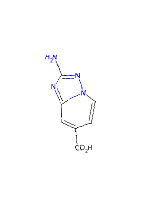 Nc1nc2cc(C(=O)O)ccn2n1